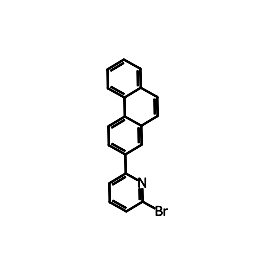 Brc1cccc(-c2ccc3c(ccc4ccccc43)c2)n1